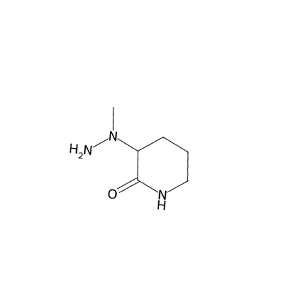 CN(N)C1CCCNC1=O